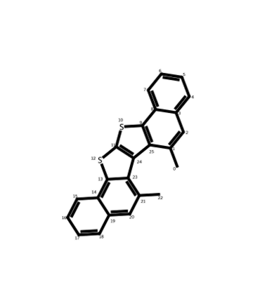 Cc1cc2ccccc2c2sc3sc4c5ccccc5cc(C)c4c3c12